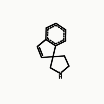 C1=CC2(CCNC2)c2ccccc21